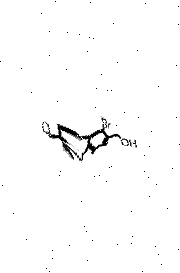 O=Cc1ccc2c(Br)c(CO)ccc2n1